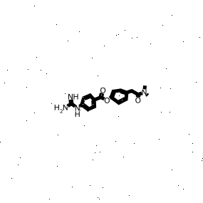 CN(C)C(=O)Cc1ccc(OC(=O)c2ccc(NC(=N)N)cc2)cc1